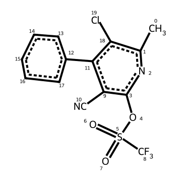 Cc1nc(OS(=O)(=O)C(F)(F)F)c(C#N)c(-c2ccccc2)c1Cl